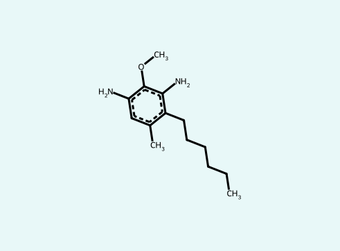 CCCCCCc1c(C)cc(N)c(OC)c1N